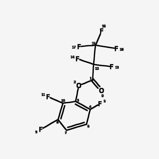 O=C(Oc1c(F)ccc(F)c1F)C(F)(F)C(F)(F)F